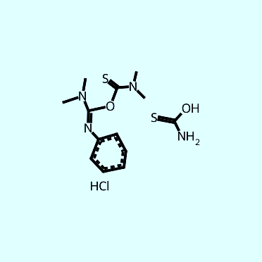 CN(C)C(=S)OC(=Nc1ccccc1)N(C)C.Cl.NC(O)=S